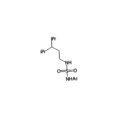 CC(=O)NS(=O)(=O)NCCC(C(C)C)C(C)C